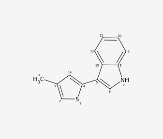 Cc1csc(-c2c[nH]c3ccccc23)c1